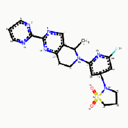 CC1c2cnc(-c3ncccn3)nc2CCN1c1cc(N2CCCS2(=O)=O)cc(F)n1